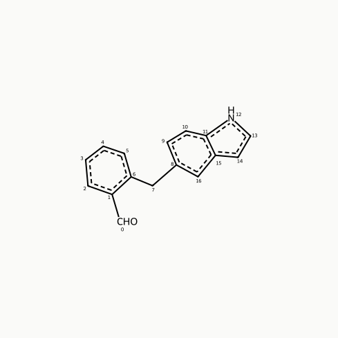 O=Cc1ccccc1Cc1ccc2[nH]ccc2c1